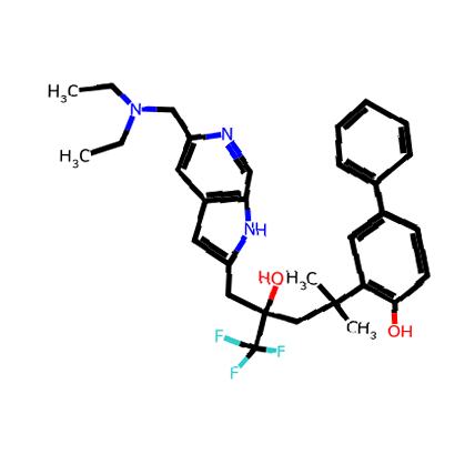 CCN(CC)Cc1cc2cc(CC(O)(CC(C)(C)c3cc(-c4ccccc4)ccc3O)C(F)(F)F)[nH]c2cn1